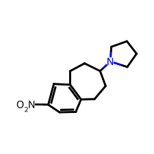 O=[N+]([O-])c1ccc2c(c1)CCC(N1CCCC1)CC2